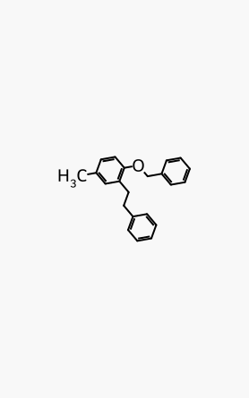 Cc1ccc(OCc2ccccc2)c(CCc2ccccc2)c1